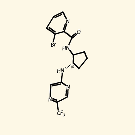 O=C(NC1CCC[C@@H]1Nc1cnc(C(F)(F)F)cn1)c1ncccc1Br